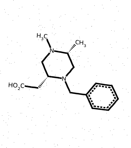 C[C@@H]1CN(Cc2ccccc2)[C@H](CC(=O)O)CN1C